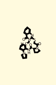 CCn1c(SCC(=O)N2CCC[C@H]2C(=O)Nc2ccccc2-n2cccc2)nc2ccccc2c1=O